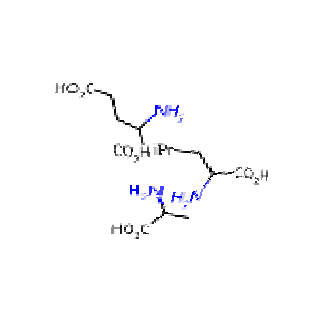 CC(C)CC(N)C(=O)O.CC(N)C(=O)O.NC(CCC(=O)O)C(=O)O